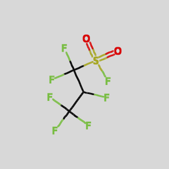 O=S(=O)(F)C(F)(F)C(F)C(F)(F)F